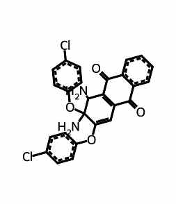 NC1C2=C(C=C(Oc3ccc(Cl)cc3)C1(N)Oc1ccc(Cl)cc1)C(=O)c1ccccc1C2=O